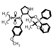 COc1ccc(CN([C@H]2CCN[C@H]2CO[Si](c2ccccc2)(c2ccccc2)C(C)(C)C)S(=O)(=O)N(C)C)cc1